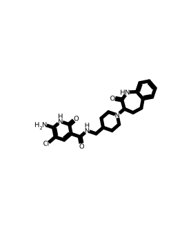 Nc1[nH]c(=O)c(C(=O)NCC2CCN(C3CCc4ccccc4NC3=O)CC2)cc1Cl